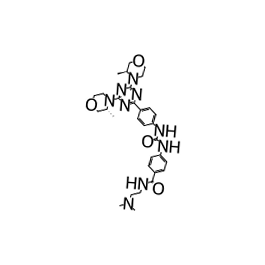 C[C@@H]1COCCN1c1nc(-c2ccc(NC(=O)Nc3ccc(C(=O)NCCN(C)C)cc3)cc2)nc(N2CCOC[C@@H]2C)n1